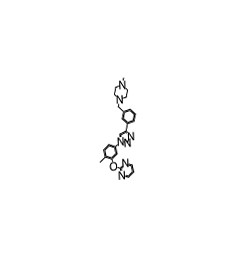 Cc1ccc(-n2cc(-c3cccc(CN4CCN(C)CC4)c3)nn2)cc1Oc1ncccn1